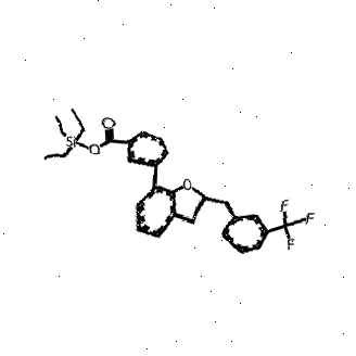 CC[Si](CC)(CC)OC(=O)c1cccc(-c2cccc3c2OC(Cc2cccc(C(F)(F)F)c2)C3)c1